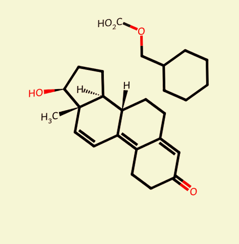 C[C@]12C=CC3=C4CCC(=O)C=C4CC[C@H]3[C@@H]1CC[C@@H]2O.O=C(O)OCC1CCCCC1